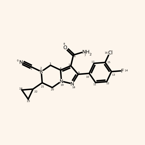 N#CB1Cc2c(C(N)=O)c(-c3ccc(F)c(Cl)c3)nn2CC1C1CC1